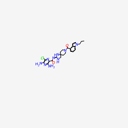 CCCn1ccc2c(C(=O)N3CCC4(CC3)CN/C(=N\C(=O)c3nc(Cl)c(N)nc3N)N4)cccc21